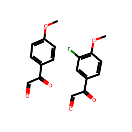 COc1ccc(C(=O)C=O)cc1.COc1ccc(C(=O)C=O)cc1F